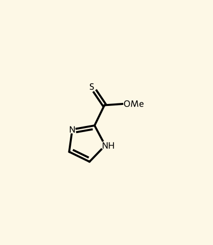 COC(=S)c1ncc[nH]1